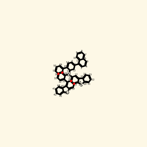 C1=C(c2cccc3ccccc23)CC(N(c2ccc3sc4ccccc4c3c2)c2ccccc2-c2cccc3oc4ccccc4c23)C(c2ccccc2)=C1